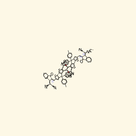 [C-]#[N+]/C(C#N)=C1/C(=C/c2cc3c(s2)-c2sc4c5nsnc5c5c6c7c(sc6c6nsnc6c5c4c2C3(c2ccc(C)cc2)c2ccc(C)cc2)-c2sc(/C=C3\C(=O)c4ccccc4C3=C(C#N)C#N)cc2C7(c2ccc(C)cc2)c2ccc(C)cc2)C(=O)c2ccccc21